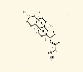 C/C(=C\[C@H]1CC[C@]2(O)[C@@H]3CC[C@@H]4C[C@@H](O)CC[C@]4(C)[C@H]3CC[C@]12C)CNO